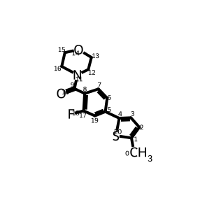 Cc1ccc(-c2ccc(C(=O)N3CCOCC3)c(F)c2)s1